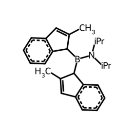 CC1=Cc2ccccc2C1B(C1C(C)=Cc2ccccc21)N(C(C)C)C(C)C